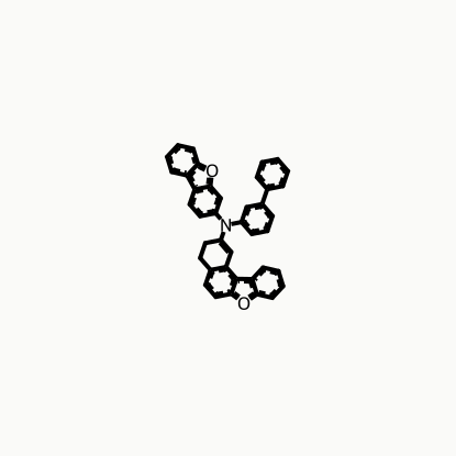 C1=C(N(c2cccc(-c3ccccc3)c2)c2ccc3c(c2)oc2ccccc23)CCc2ccc3oc4ccccc4c3c21